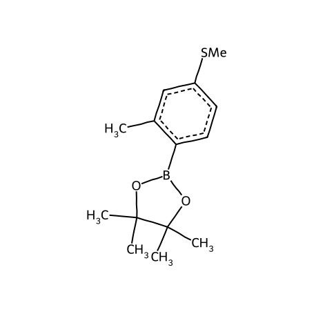 CSc1ccc(B2OC(C)(C)C(C)(C)O2)c(C)c1